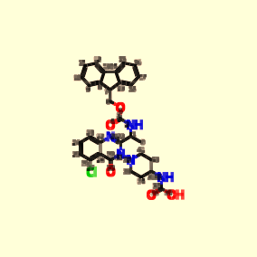 CC(NC(=O)OCC1c2ccccc2-c2ccccc21)c1nc2cccc(Cl)c2c(=O)n1N1CCC(NC(=O)O)CC1